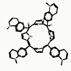 CN1C=CCc2cc(C3=C4C=CC(Cl)(N4)C(Cl)(c4ccc5c(c4)CC=CN5C)C4=NC(Cl)(C=C4)C(Cl)(c4ccc5c(c4)CC=CN5C)c4ccc([nH]4)C(c4ccc5c(c4)CC=CN5C)=C4C=CC3=N4)ccc21